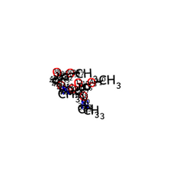 CCCCOc1ccc2c(c1)C(=O)c1cccc(OCCN(CC)CC)c1-2.CCCOc1ccc2c(c1)C(=O)c1cccc(OCC(C)N3CCOCC3)c1-2